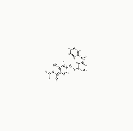 Cc1c(OCc2cccc(N(C)c3ccccn3)c2)ccc(C(=O)CC(C)C)c1O